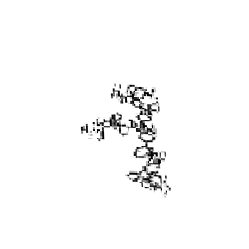 CC1(C)c2ccccc2-c2cc3c(cc21)c1ccccc1n3-c1ccc(-c2nc(-c3cccc(-n4c5ccccc5c5cc6c(cc54)-c4ccccc4C6(C)C)c3)c3cc(-c4cccc(-n5c6ccccc6c6cc7c(cc65)-c5ccccc5C7(C)C)c4)ccc3n2)cc1